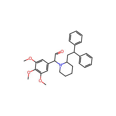 COc1cc(C(C=O)N2CCCCC2CC(c2ccccc2)c2ccccc2)cc(OC)c1OC